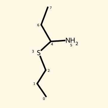 CCCSC(N)CC